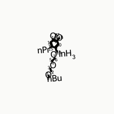 CCCCOCCOCCOCc1cc2c(cc1CCC)OCO2.[InH3]